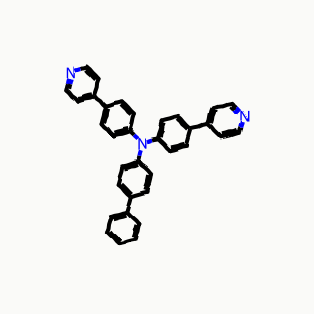 c1ccc(-c2ccc(N(c3ccc(-c4ccncc4)cc3)c3ccc(-c4ccncc4)cc3)cc2)cc1